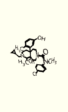 Cc1ccc(O)cc1C12CCN(C(=O)N(C)c3ccc(Cl)cc3)CCC1(O)C(C)N(CC1CC1)CC2